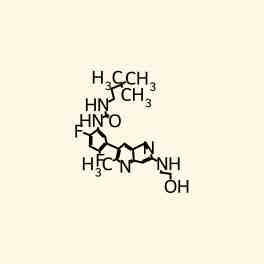 Cc1nc2cc(NCCO)ncc2cc1-c1cc(NC(=O)NCCC(C)(C)C)c(F)cc1F